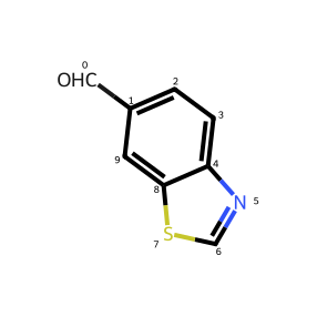 O=Cc1ccc2ncsc2c1